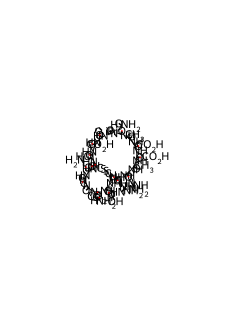 CC(C)[C@@H]1NC(=O)[C@H](Cc2ccccc2)NC(=O)[C@H](CC(=O)O)NC(=O)[C@H](CO)NC(=O)[C@@H]2CSSC[C@H](NC(=O)[C@H](CCCNC(=N)N)NC(=O)[C@H](CCCNC(=N)N)NC(=O)[C@H](C)NC(=O)[C@H](CCC(=O)O)NC(=O)[C@H](CC(=O)O)NC(=O)[C@H](C)NC(=O)[C@H](CCC(N)=O)NC1=O)C(=O)N[C@@H](Cc1ccc(O)cc1)C(=O)N[C@@H](CC(N)=O)C(=O)N[C@@H](CC(=O)O)C(=O)N1CCC[C@H]1C(=O)N[C@@H](CCCCN)C(=O)N2